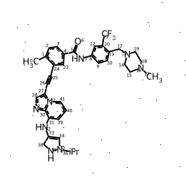 Cc1ccc(C(=O)Nc2ccc(CN3CCN(C)CC3)c(C(F)(F)F)c2)cc1C#Cc1cnc2c(NC3=CN(C(C)C)NC3)cccn12